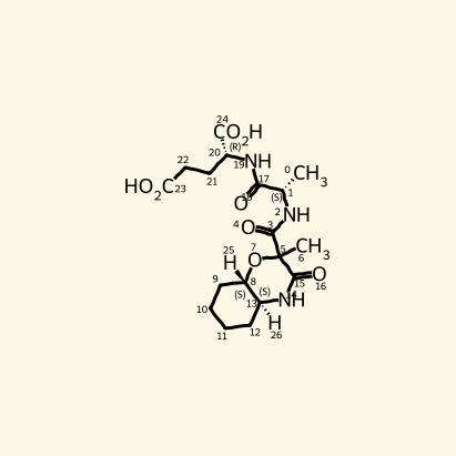 C[C@H](NC(=O)C1(C)O[C@H]2CCCC[C@@H]2NC1=O)C(=O)N[C@H](CCC(=O)O)C(=O)O